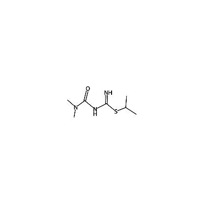 CC(C)SC(=N)NC(=O)N(C)C